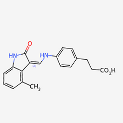 Cc1cccc2c1/C(=C/Nc1ccc(CCC(=O)O)cc1)C(=O)N2